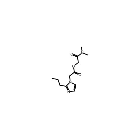 CCCc1nccn1CC(=O)OCC(=O)N(C)C